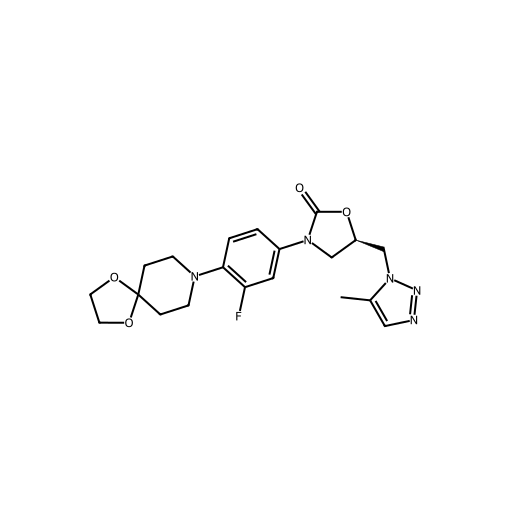 Cc1cnnn1C[C@H]1CN(c2ccc(N3CCC4(CC3)OCCO4)c(F)c2)C(=O)O1